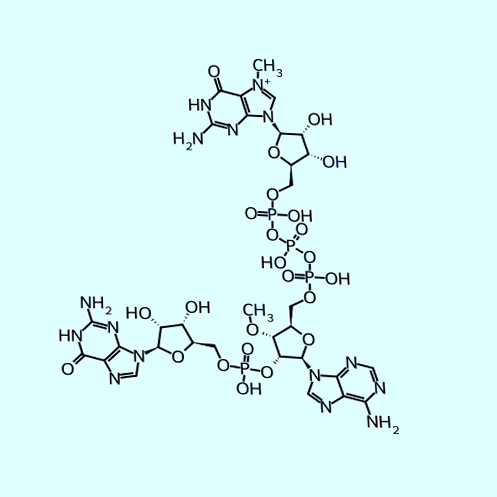 CO[C@H]1[C@@H](OP(=O)(O)OC[C@H]2O[C@@H](n3cnc4c(=O)[nH]c(N)nc43)[C@H](O)[C@@H]2O)[C@H](n2cnc3c(N)ncnc32)O[C@@H]1COP(=O)(O)OP(=O)(O)OP(=O)(O)OC[C@H]1O[C@@H](n2c[n+](C)c3c(=O)[nH]c(N)nc32)[C@H](O)[C@@H]1O